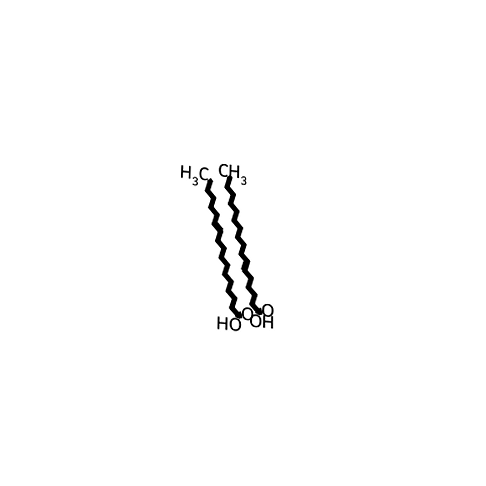 CCCCCCC=CCCCCCCCCCC(=O)O.CCCCCCCCCCCC=CCCCCC(=O)O